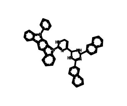 C1=C(C2NC(c3ccc4ccccc4c3)=NC(c3ccc4ccccc4c3)N2)N=C(n2c3ccccc3c3cc4c5ccccc5n(-c5ccccc5)c4cc32)NC1